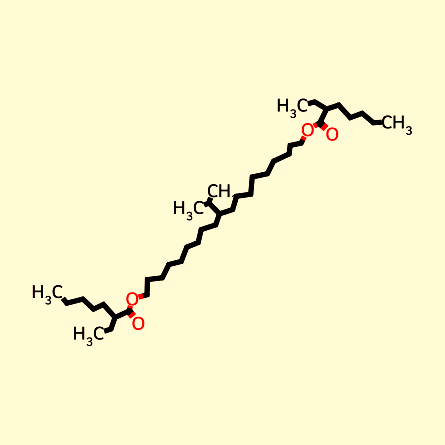 CCCCCC(CC)C(=O)OCCCCCCCCCC(CCCCCCCCCOC(=O)C(CC)CCCCC)C(C)C